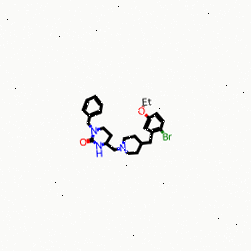 CCOc1ccc(Br)c(CC2CCN(CC3CCN(Cc4ccccc4)C(=O)N3)CC2)c1